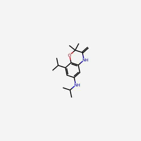 C=C1Nc2cc(NC(C)C)cc(C(C)C)c2OC1(C)C